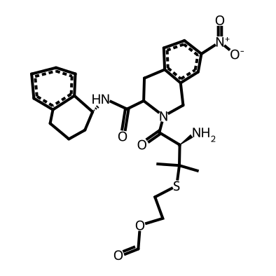 CC(C)(SCCOC=O)[C@H](N)C(=O)N1Cc2cc([N+](=O)[O-])ccc2CC1C(=O)N[C@@H]1CCCc2ccccc21